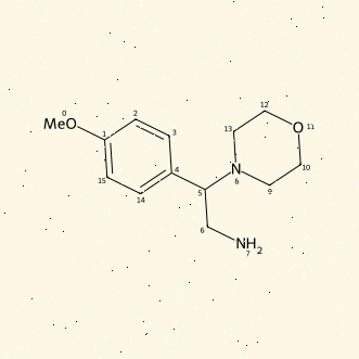 COc1ccc(C(CN)N2CCOCC2)cc1